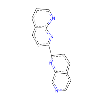 c1cnc2nc(-c3ccc4ccncc4n3)ccc2c1